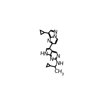 CC(Nc1ncc2c(-c3ccn4ncc(C5CC5)c4n3)c[nH]c2n1)C1CC1